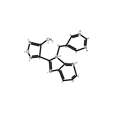 Cc1nonc1-c1nc2cccnc2n1Cc1cncnc1